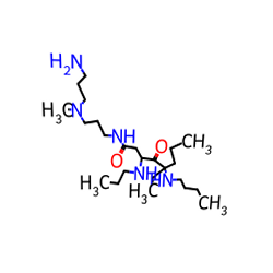 CCCCNC(CC)(CCC)C(=O)C(CC(=O)NCCCN(C)CCCN)NCCC